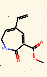 C=CC1=CCNC(=O)C(C(=O)OC)=C1